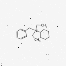 CC[N+](CC)(Cc1ccccc1)C1CCCCC1